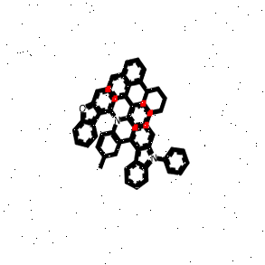 CC1C=CC(N(c2ccccc2-c2cccc3cccc(C4CCCCC4)c23)c2cccc3oc4ccccc4c23)=C(c2cccc3c2c2ccccc2n3-c2ccccc2)C1